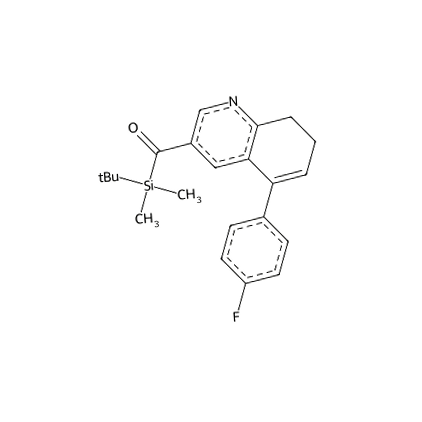 CC(C)(C)[Si](C)(C)C(=O)c1cnc2c(c1)C(c1ccc(F)cc1)=CCC2